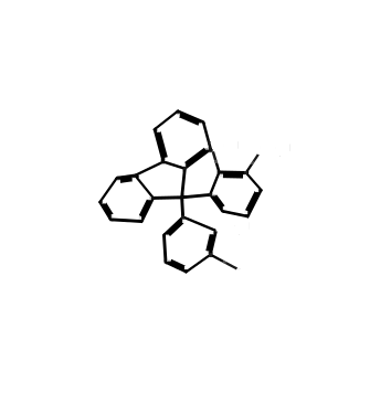 O=C(O)c1cccc(C2(c3cccc(C(=O)O)c3C(=O)O)c3ccccc3-c3ccccc32)c1C(=O)O